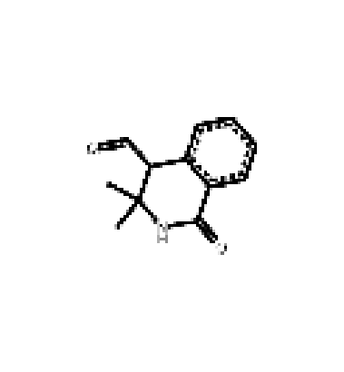 CC1(C)NC(=O)c2ccccc2C1C=O